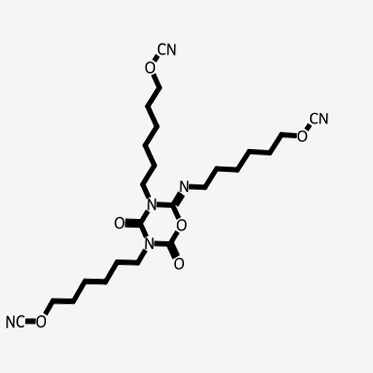 N#COCCCCCC/N=c1\oc(=O)n(CCCCCCOC#N)c(=O)n1CCCCCCOC#N